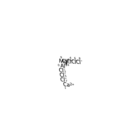 [Al+3].[Ca+2].[Cl-].[Cl-].[Cl-].[Cl-].[Cl-].[Cl-].[Cl-].[Mg+2]